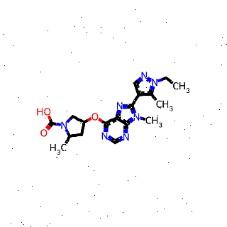 CCn1ncc(-c2nc3c(OC4CC(C)N(C(=O)O)C4)ncnc3n2C)c1C